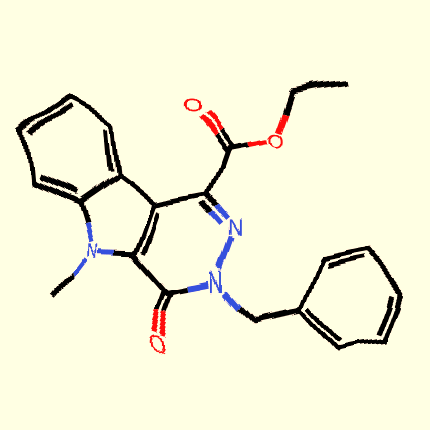 CCOC(=O)c1nn(Cc2ccccc2)c(=O)c2c1c1ccccc1n2C